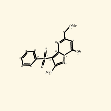 COCc1cc(O)n2nc(SC)c(S(=O)(=O)c3ccccc3)c2n1